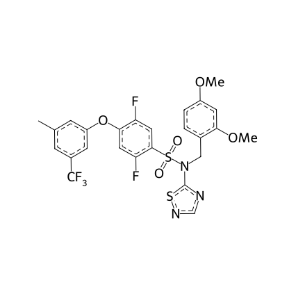 COc1ccc(CN(c2ncns2)S(=O)(=O)c2cc(F)c(Oc3cc(C)cc(C(F)(F)F)c3)cc2F)c(OC)c1